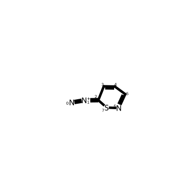 [N-]=[N+]=c1cccns1